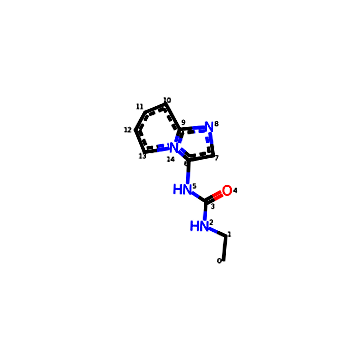 CCNC(=O)Nc1cnc2ccccn12